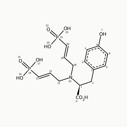 O=C(O)[C@H](Cc1ccc(O)cc1)N(CC=CP(=O)(O)O)CC=CP(=O)(O)O